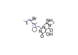 C=C(C)/C=C(Br)\C=C(/C)C1(Cc2nc(=O)c(O)c3n2C[C@H](N)N(C)C3=O)CCCC1